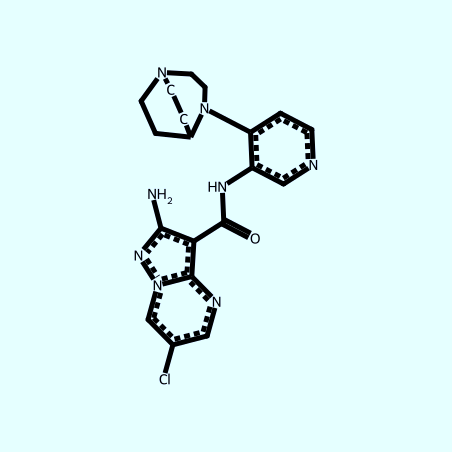 Nc1nn2cc(Cl)cnc2c1C(=O)Nc1cnccc1N1CCN2CCC1CC2